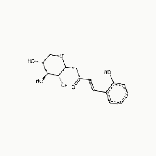 O=C(/C=C/c1ccccc1O)CC1OC[C@@H](O)[C@H](O)[C@H]1O